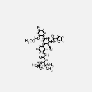 COCOc1cc(F)ccc1-c1cc(-c2cccc(NC(=O)CC(NC(=O)O)C(C)(C)C)c2)c(C#N)c(NC(=O)c2ccco2)n1